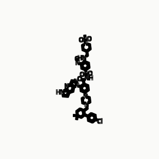 CC1(C)CCC(CN2CCN(c3ccc(C(=O)NS(=O)(=O)c4ccc(NCC5CCN(S(C)(=O)=O)CC5)c(N=O)c4)c(-n4ncc5nc6[nH]ccc6cc54)c3)CC2)=C(c2ccc(Cl)cc2)C1